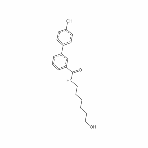 O=C(NCCCCCCO)c1cccc(-c2ccc(O)cc2)c1